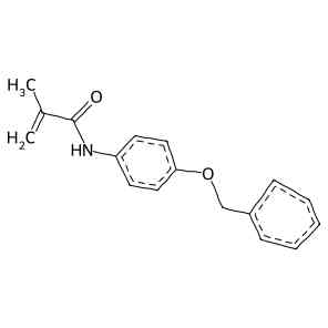 C=C(C)C(=O)Nc1ccc(OCc2ccccc2)cc1